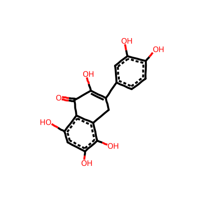 O=C1C(O)=C(c2ccc(O)c(O)c2)Cc2c(O)c(O)cc(O)c21